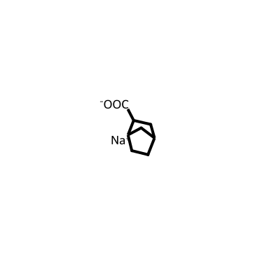 O=C([O-])C1CC2CCC1C2.[Na+]